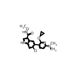 CONC(=O)c1c[nH]c2cc(Cl)c(-c3ccc(N(C)C)nc3OC3CC3)cc12